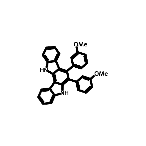 COc1cccc(-c2c(-c3cccc(OC)c3)c3c4ccccc4[nH]c3c3c2[nH]c2ccccc23)c1